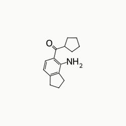 Nc1c(C(=O)C2CCCC2)ccc2c1CCC2